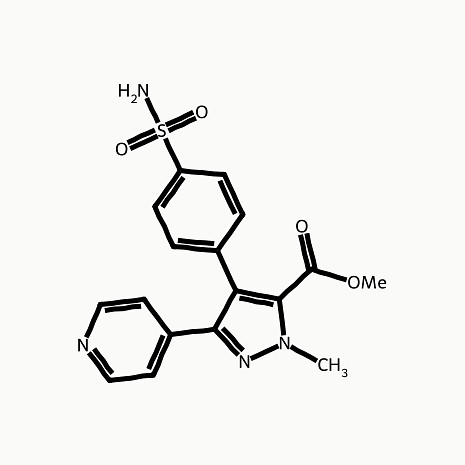 COC(=O)c1c(-c2ccc(S(N)(=O)=O)cc2)c(-c2ccncc2)nn1C